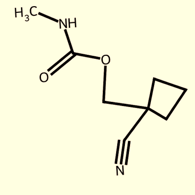 CNC(=O)OCC1(C#N)CCC1